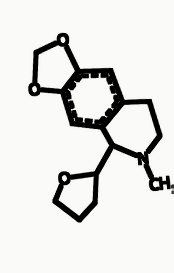 CN1CCc2cc3c(cc2C1C1CCCO1)OCO3